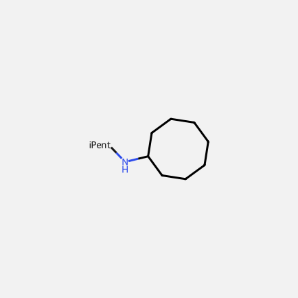 CCCC(C)NC1CCCCCCC1